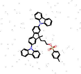 Cc1ccc(S(=O)(=O)OCCCC2(C)c3cc(-n4c5ccccc5c5ccccc54)ccc3-c3ccc(-n4c5ccccc5c5ccccc54)cc32)cc1